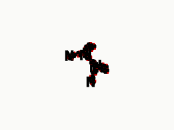 C1=C(c2cc(-c3ccc(-c4ccc5ncccc5c4)cc3)nc(-c3ccc(-c4ccc(-c5nc(-c6ccc(-c7ccc8ncccc8c7)cc6)cc(-c6ccc7ccc8cccc9ccc6c7c89)n5)cc4)cc3)n2)C2CC=c3cccc4ccc(c2c34)=C1